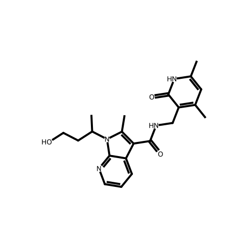 Cc1cc(C)c(CNC(=O)c2c(C)n(C(C)CCO)c3ncccc23)c(=O)[nH]1